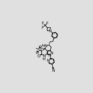 CS(=O)(=O)CC(=O)Nc1c2c(nn1-c1ccc(C#N)cn1)C[C@H](CCc1cccc(N3CC(C(F)(F)F)C3)c1)NC2=O